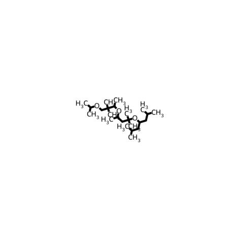 CC(C)CC(CC(C)C)OC(C)(C)CC(C)OC(C)C(C)(C)COC(C)C